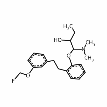 CCC(O)C(Oc1ccccc1CCc1cccc(OCF)c1)N(C)C